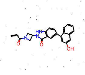 C=CC(=O)N1CC(n2[nH]c3ccc(-c4cc(O)cc5ccccc45)cc3c2=O)C1